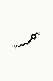 CCCCCCC#Cc1ccc(C=O)cc1